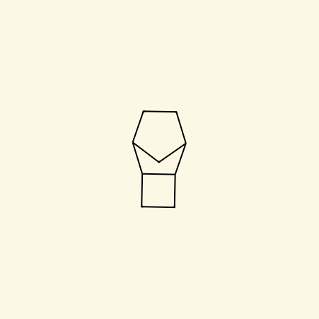 C1CC2CC1C1CCC21